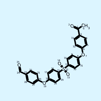 CC(=O)c1ccc(Oc2ccc(S(=O)(=O)c3ccc(Oc4ccc(C=O)cc4)cc3)cc2)cc1